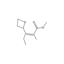 CCC(=C(C)C(=O)OC)C1CCO1